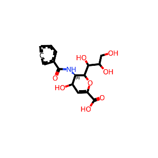 O=C(O)C1=CC(O)[C@@H](NC(=O)c2ccccc2)C(C(O)C(O)CO)O1